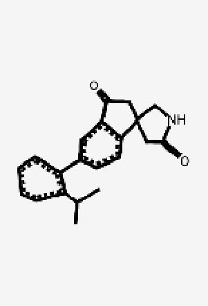 CC(C)c1ccccc1-c1ccc2c(c1)C(=O)CC21CNC(=O)C1